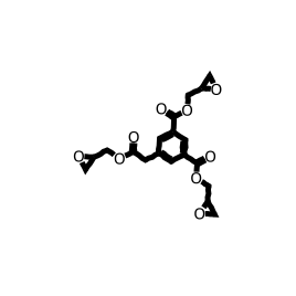 O=C(Cc1cc(C(=O)OCC2CO2)cc(C(=O)OCC2CO2)c1)OCC1CO1